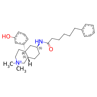 C[N+]1(C)CC[C@@]2(c3cccc(O)c3)C[C@@H](NC(=O)CCCCCc3ccccc3)CC[C@@H]2C1